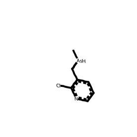 C[AsH]Cc1cccnc1Cl